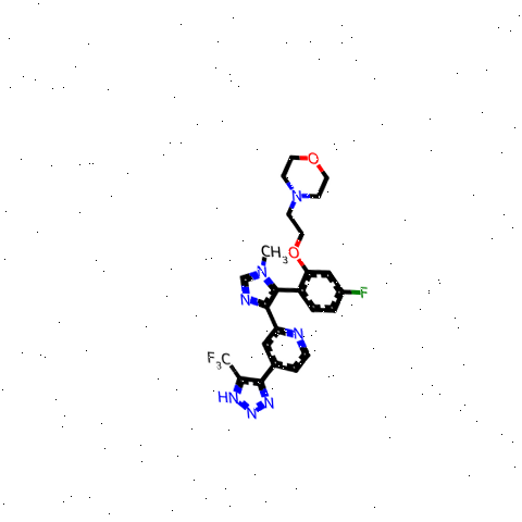 Cn1cnc(-c2cc(-c3nn[nH]c3C(F)(F)F)ccn2)c1-c1ccc(F)cc1OCCN1CCOCC1